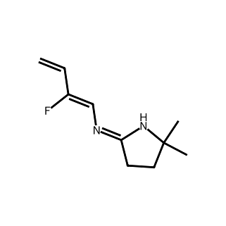 C=C/C(F)=C/N=C1/CCC(C)(C)N1